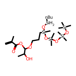 C=C(C)C(=O)OC(OCCC[Si](C)(O[SiH2]CCCC)O[Si](C)(C)O[Si](C)(C)O[Si](C)(C)C)C(C)O